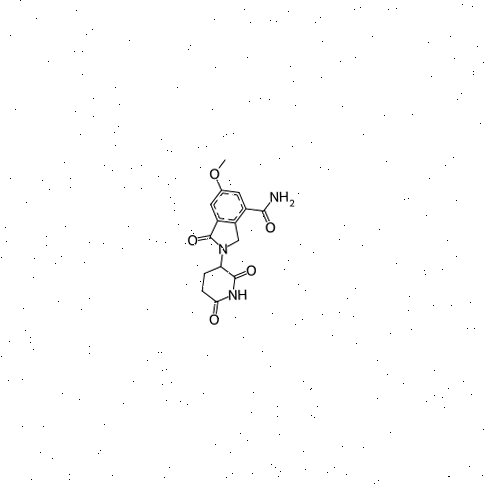 COc1cc(C(N)=O)c2c(c1)C(=O)N(C1CCC(=O)NC1=O)C2